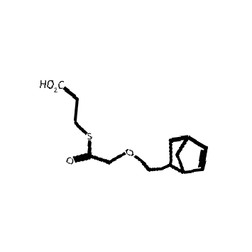 O=C(O)CCSC(=O)COCC1CC2C=CC1C2